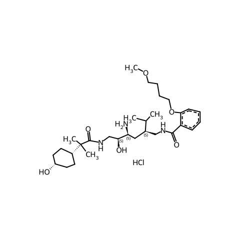 COCCCCOc1ccccc1C(=O)NC[C@@H](C[C@H](N)[C@@H](O)CNC(=O)C(C)(C)[C@H]1CC[C@@H](O)CC1)C(C)C.Cl